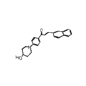 O=C(/C=C/c1ccc2ccccc2c1)c1ccc(N2CCC(O)CC2)cc1